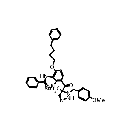 CCOC(=O)C1(C(=O)c2ccc(OCCCCc3ccccc3)c(NC(=O)c3ccccc3)c2N)C=NNN1Cc1ccc(OC)cc1